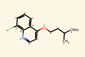 COC(C)CCOc1ccnc2c(F)cccc12